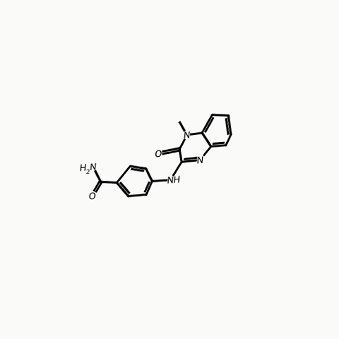 Cn1c(=O)c(Nc2ccc(C(N)=O)cc2)nc2ccccc21